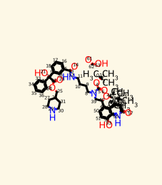 CC(C)(C)OC(=O)N(CCCCNC(=O)c1cccc(C(O)(C(=O)OCC2CCNCC2)c2ccccc2)c1)CC(O[Si](C)(C)C(C)(C)C)c1ccc(O)c2[nH]c(=O)ccc12.O=CO